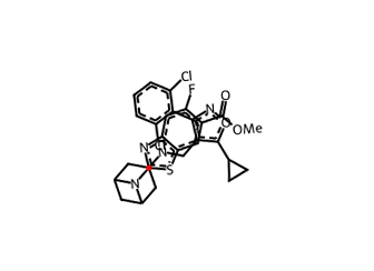 COC(=O)c1cc2sc(N3C4CC(NCc5c(-c6c(Cl)cccc6Cl)noc5C5CC5)CC3C4)nc2cc1F